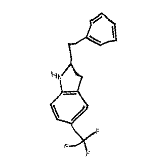 FC(F)(F)c1ccc2c(c1)CC(Cc1ccccc1)N2